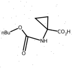 CCCCOC(=O)NC1(C(=O)O)CC1